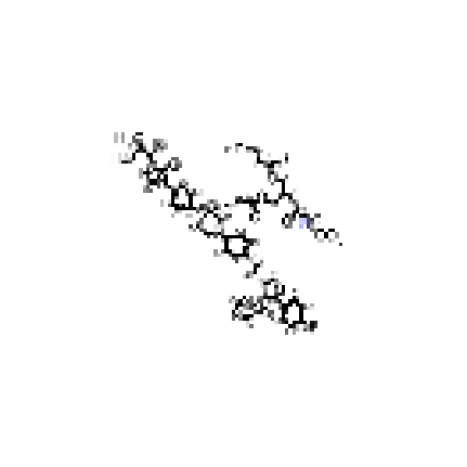 CCCCCCCCCCCC(=O)OCC(COC(=O)CCCCCCCCCCC)OC(=O)/C=C/C(=O)O.CC[C@@H]([C@H](C)O)n1ncn(-c2ccc(N3CCN(c4ccc(OC[C@@H]5CO[C@@](Cn6cncn6)(c6ccc(F)cc6F)C5)cc4)CC3)cc2)c1=O